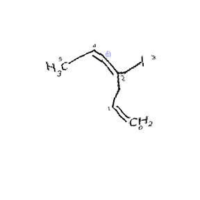 C=C/C(I)=C\C